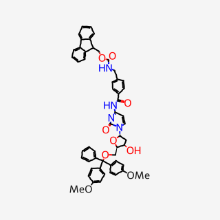 COc1ccc(C(OC[C@H]2O[C@@H](n3ccc(NC(=O)c4ccc(CNC(=O)OCC5c6ccccc6-c6ccccc65)cc4)nc3=O)C[C@H]2O)(c2ccccc2)c2ccc(OC)cc2)cc1